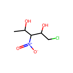 CC(O)C(C(O)CCl)[N+](=O)[O-]